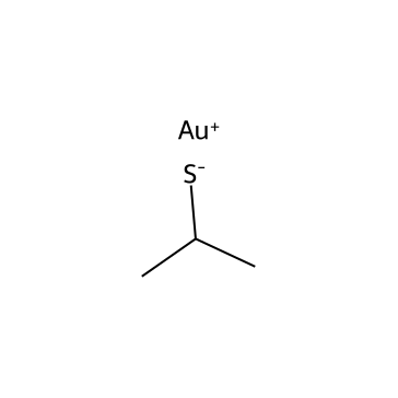 CC(C)[S-].[Au+]